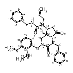 C=CCN(C(=O)NCc1ccccc1)N1CC(=O)N2[C@@H](Cc3ccccc3)C(=O)N(Cc3cccc(C=C)c3NN)C[C@@H]21